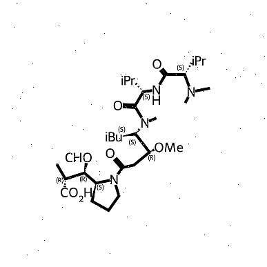 CC[C@H](C)[C@@H]([C@@H](CC(=O)N1CCC[C@H]1[C@H](C=O)[C@@H](C)C(=O)O)OC)N(C)C(=O)[C@@H](NC(=O)[C@H](C(C)C)N(C)C)C(C)C